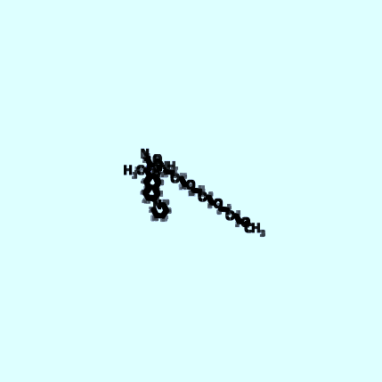 COCCOCCOCCOCCOCCOCCNS(=O)(=O)/C(C#N)=C(/C)c1ccc2cc(N3CCCCC3)ccc2c1